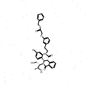 C[C@H](O)[C@H](CO)N1C(=O)c2ccccc2[C@@H](C(=O)NCCc2cccc(OCC(=O)OCc3ccccc3)c2)[C@@H]1c1ccc(Cl)cc1